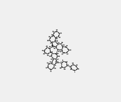 c1ccc(-c2ccc(-n3c4ccccc4c4ccc(-c5c6ccccc6cc6c7c8ccccc8ccc7n(-c7ccccc7)c56)cc43)cc2)cc1